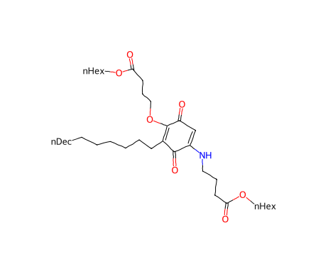 CCCCCCCCCCCCCCCCC1=C(OCCCC(=O)OCCCCCC)C(=O)C=C(NCCCC(=O)OCCCCCC)C1=O